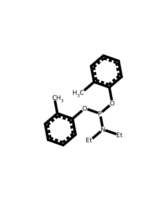 CCN(CC)P(Oc1ccccc1C)Oc1ccccc1C